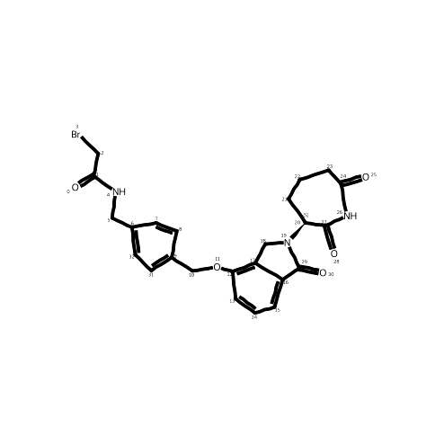 O=C(CBr)NCc1ccc(COc2cccc3c2CN([C@H]2CCCC(=O)NC2=O)C3=O)cc1